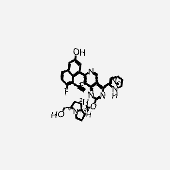 [2H]C([2H])(Oc1nc(N2CC3CCC2CN3)c2cnc(-c3cc(O)cc4ccc(F)c(C#C)c34)c(F)c2n1)[C@]12CCCN1[C@@H](CO)CC2